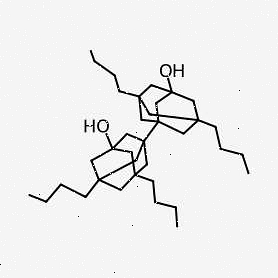 CCCCC12CC3(O)CC(CCCC)(C1)CC(C14CC5(O)CC(CCCC)(CC(CCCC)(C5)C1)C4)(C3)C2